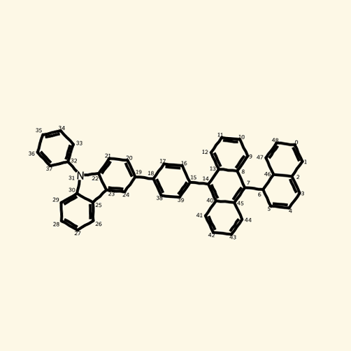 C1=CC2=CC=CC(c3c4ccccc4c(-c4ccc(-c5ccc6c(c5)c5ccccc5n6-c5ccccc5)cc4)c4ccccc34)C2C=C1